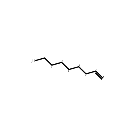 [Li][CH2]CCCCCC=C